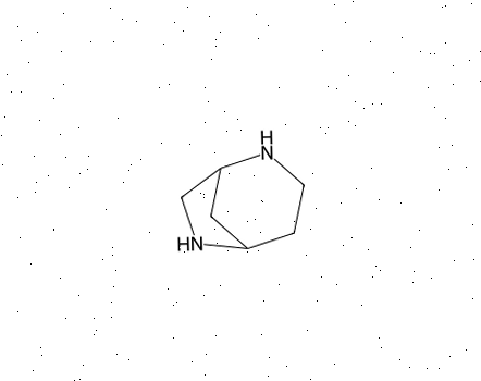 C1CC2CC(CN2)N1